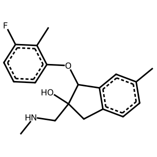 CNCC1(O)Cc2ccc(C)cc2C1Oc1cccc(F)c1C